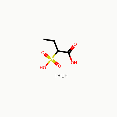 CCC(C(=O)O)S(=O)(=O)O.[LiH].[LiH]